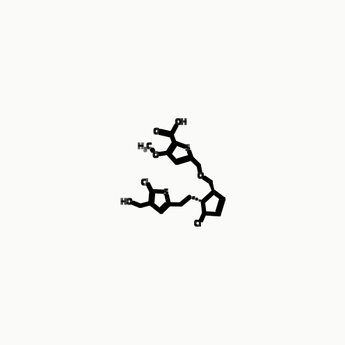 COc1cc(COC[C@H]2C=CC(Cl)[C@@H]2CCc2cc(CO)c(Cl)s2)sc1C(=O)O